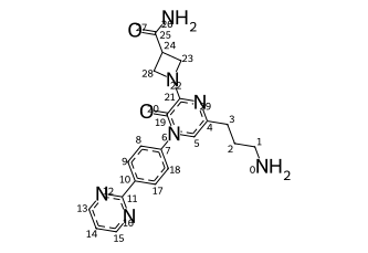 NCCCc1cn(-c2ccc(-c3ncccn3)cc2)c(=O)c(N2CC(C(N)=O)C2)n1